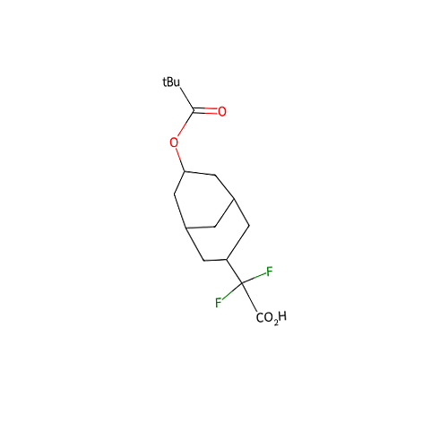 CC(C)(C)C(=O)OC1CC2CC(C1)CC(C(F)(F)C(=O)O)C2